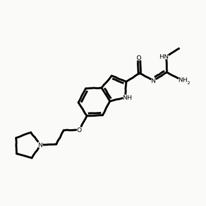 CNC(N)=NC(=O)c1cc2ccc(OCCN3CCCC3)cc2[nH]1